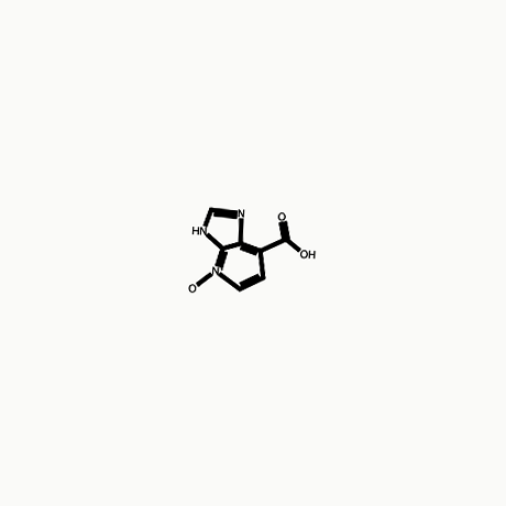 O=C(O)c1cc[n+]([O-])c2[nH]cnc12